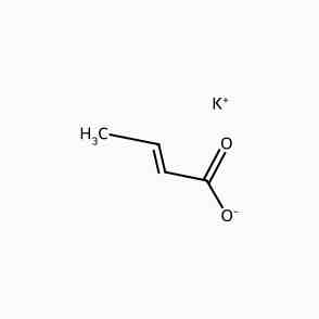 C/C=C/C(=O)[O-].[K+]